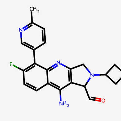 Cc1ccc(-c2c(F)ccc3c(N)c4c(nc23)CN(C2CCC2)C4C=O)cn1